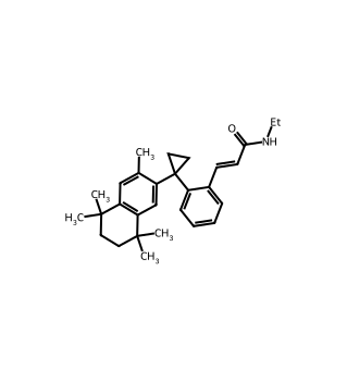 CCNC(=O)/C=C/c1ccccc1C1(c2cc3c(cc2C)C(C)(C)CCC3(C)C)CC1